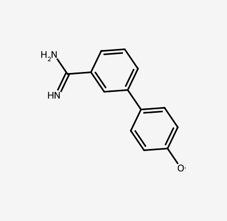 N=C(N)c1cccc(-c2ccc([O])cc2)c1